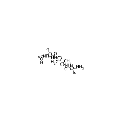 Cc1c(NC(=O)c2cc(C3CC3)c(CN)cn2)cccc1-c1cccc(NC(=O)c2cc(C3CC3)c(CNCC3(O)CC3)cn2)c1C